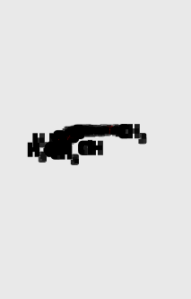 CCCCCCCCCCCCCCCCOC[C@H]1CC[C@@H](COC(=O)N(CCN(C)C)C(N)=O)O1.Cl